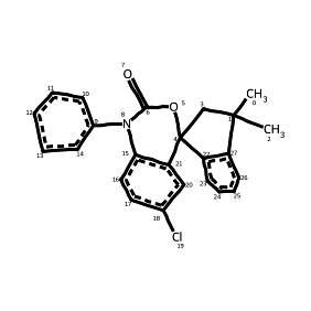 CC1(C)CC2(OC(=O)N(c3ccccc3)c3ccc(Cl)cc32)c2ccccc21